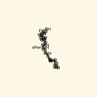 CCCCCC(NC(=O)COCC(=O)NCCOCCn1cc(CNC(=O)C2CCC(CN3C(=O)CC(C)C3=O)CC2)nn1)C(=O)Nc1ccc(COC(=O)OC2(CC)C(=O)CCc3c2cc2n(c3=O)Cc3c-2nc2ccc(O)cc2c3CC)cc1